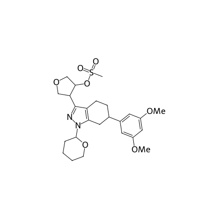 COc1cc(OC)cc(C2CCc3c(C4COCC4OS(C)(=O)=O)nn(C4CCCCO4)c3C2)c1